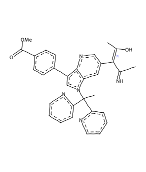 COC(=O)c1ccc(-c2cn(C(C)(c3ccccn3)c3ccccn3)c3cc(/C(C(C)=N)=C(\C)O)cnc23)cc1